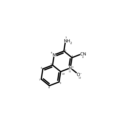 N#Cc1c(N)nc2ccccc2[n+]1[O-]